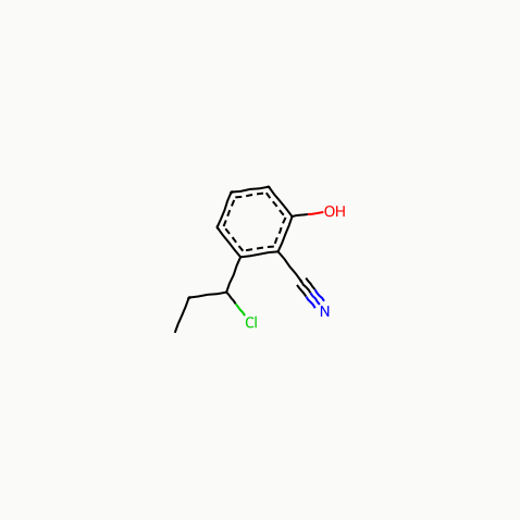 CCC(Cl)c1cccc(O)c1C#N